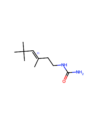 C/C(=C\C(C)(C)C)CCNC(N)=O